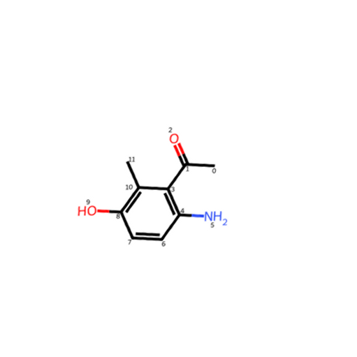 CC(=O)c1c(N)ccc(O)c1C